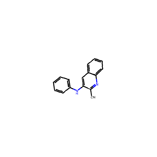 N#Cc1nc2ccccc2cc1Nc1ccccc1